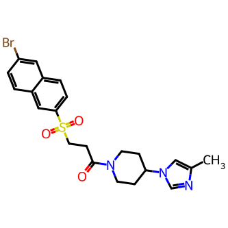 Cc1cn(C2CCN(C(=O)CCS(=O)(=O)c3ccc4cc(Br)ccc4c3)CC2)cn1